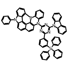 c1ccc(-n2c3cccc4c3c3c5c6c(ccc5ccc32)N(c2nc(-c3cccc([Si](c5ccccc5)(c5ccccc5)c5ccccc5)c3)nc(-n3c5ccccc5c5ccccc53)n2)c2ccccc2B64)cc1